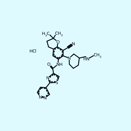 CNCC1CCCN(c2c(NC(=O)c3csc(-c4ccnnc4)n3)cc3c(c2C#N)OC(C)(C)CC3)C1.Cl